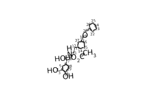 CC(=O)O.OCc1cc([C@@H](O)CNCCc2cccc(COCc3ccccc3)c2)ccc1O